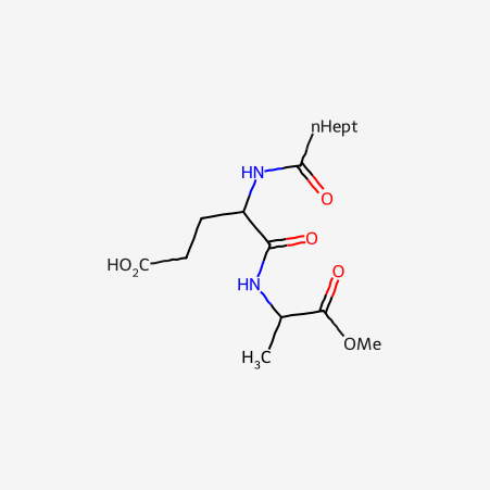 CCCCCCCC(=O)NC(CCC(=O)O)C(=O)NC(C)C(=O)OC